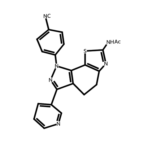 [C-]#[N+]c1ccc(-n2nc(-c3cccnc3)c3c2-c2sc(NC(C)=O)nc2CC3)cc1